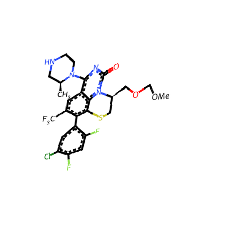 COCOC[C@H]1CSc2c(-c3cc(Cl)c(F)cc3F)c(C(F)(F)F)cc3c(N4CCNC[C@@H]4C)nc(=O)n1c23